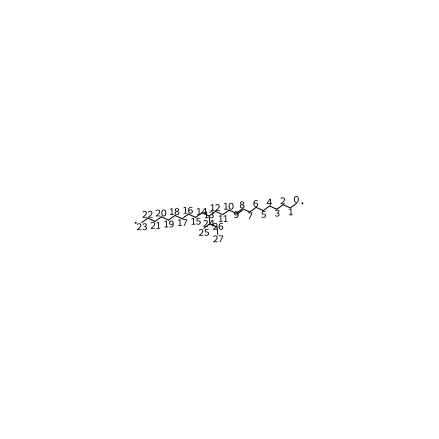 [CH2]CCCCCCCC=CCCCC(CCCCCCCCC[CH2])C(C)CC